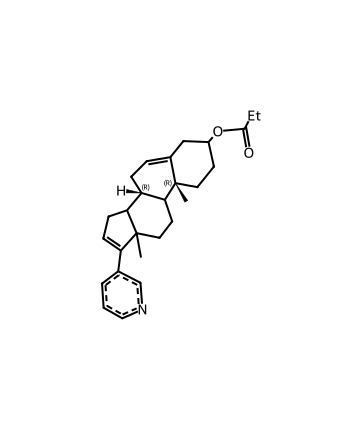 CCC(=O)OC1CC[C@@]2(C)C(=CC[C@H]3C4CC=C(c5cccnc5)C4(C)CCC32)C1